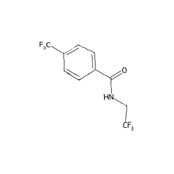 O=C(NCC(F)(F)F)c1ccc(C(F)(F)F)cc1